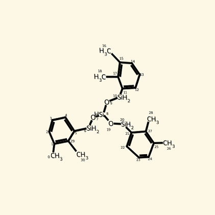 Cc1cccc([SiH2]O[SiH](O[SiH2]c2cccc(C)c2C)O[SiH2]c2cccc(C)c2C)c1C